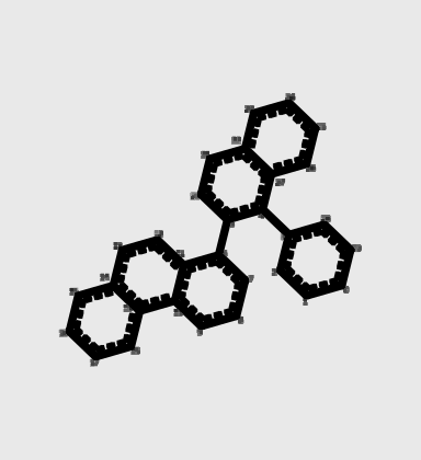 c1ccc(-c2c(-c3cccc4c3ccc3ccccc34)ccc3ccccc23)cc1